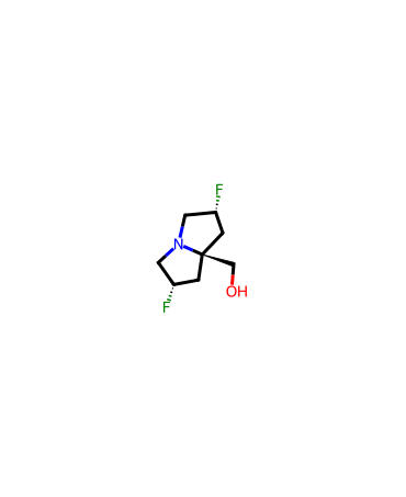 OC[C@@]12C[C@H](F)CN1C[C@H](F)C2